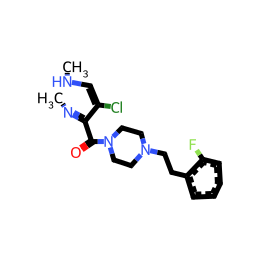 C/N=C(C(=O)N1CCN(CCc2ccccc2F)CC1)\C(Cl)=C/NC